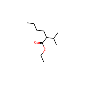 CCCCC(C(=O)OCC)C(C)C